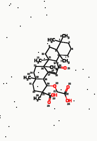 CC1(C)CCCC2(C)C1CCC1(C)C2C(=O)C=C2C3C(OCC(=O)O)C(C)(C(=O)O)CCC3(C)CCC21C